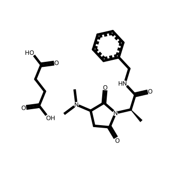 C[C@H](C(=O)NCc1ccccc1)N1C(=O)CC(N(C)C)C1=O.O=C(O)CCC(=O)O